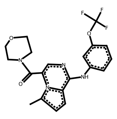 Cc1ccc2c(Nc3cccc(OC(F)(F)F)c3)ncc(C(=O)N3CCOCC3)n12